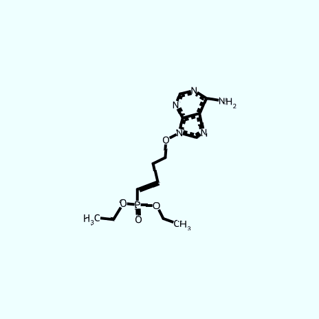 CCOP(=O)(C=CCCOn1cnc2c(N)ncnc21)OCC